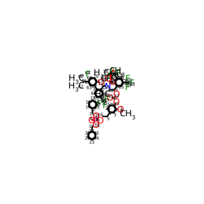 COc1cc(CCOP(=O)(OCc2ccccc2)OCc2ccccc2)ccc1OC(=O)OC(c1cc(C(F)(F)F)cc(C(F)(F)F)c1)C(C)N(Cc1cc(C(F)(F)F)ccc1-c1cc(C(C)C)c(F)cc1OC)C(=O)OC(C)(C)C